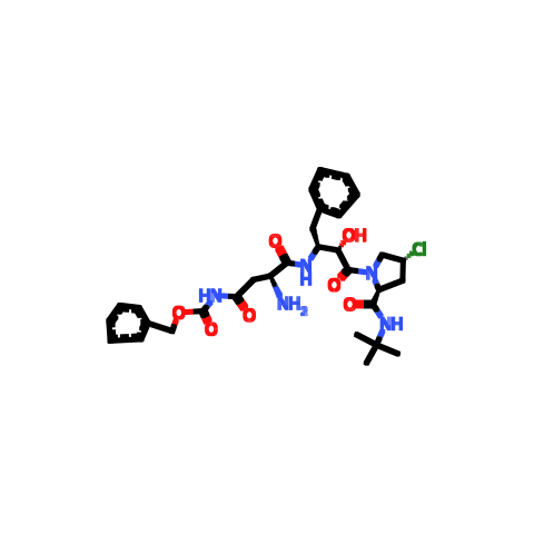 CC(C)(C)NC(=O)[C@@H]1C[C@@H](Cl)CN1C(=O)[C@@H](O)[C@H](Cc1ccccc1)NC(=O)[C@@H](N)CC(=O)NC(=O)OCc1ccccc1